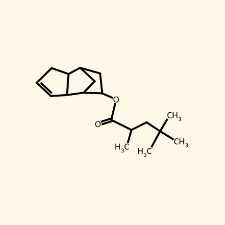 CC(CC(C)(C)C)C(=O)OC1CC2CC1C1C=CCC21